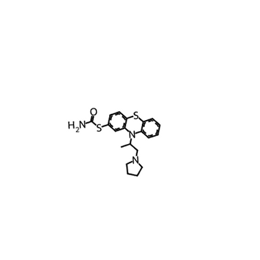 CC(CN1CCCC1)N1c2ccccc2Sc2ccc(SC(N)=O)cc21